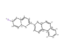 IC1=CC2=CC=C(C3=CC=C4c5ccccc5C=CC4C3)CC2C=C1